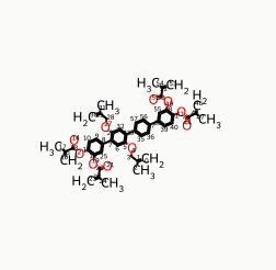 C=C(C)COc1cc(-c2ccc(OC(=O)C(=C)C)c(OC(=O)C(=C)C)c2)c(OCC(=C)C)cc1-c1ccc(-c2ccc(OC(=O)C(=C)C)c(OC(=O)C(=C)C)c2)cc1